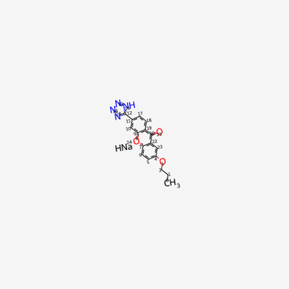 CCCOc1ccc2oc3cc(-c4nnn[nH]4)ccc3c(=O)c2c1.[NaH]